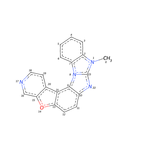 Cn1c2ccccc2n2c3c(ccc4oc5cnccc5c43)nc12